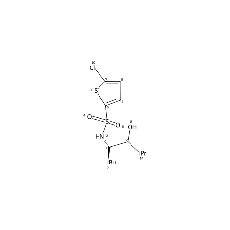 CC[C@H](C)[C@H](NS(=O)(=O)c1ccc(Cl)s1)C(O)C(C)C